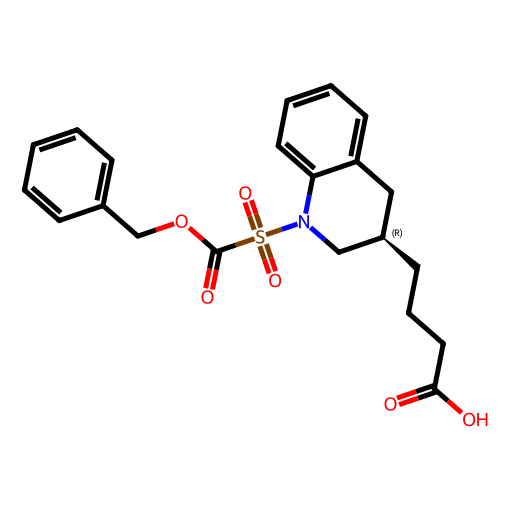 O=C(O)CCC[C@@H]1Cc2ccccc2N(S(=O)(=O)C(=O)OCc2ccccc2)C1